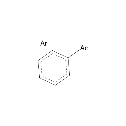 CC(=O)c1ccccc1.[Ar]